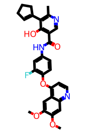 COc1cc2nccc(Oc3ccc(NC(=O)c4cnc(C)c(C5=CCCC5)c4O)cc3F)c2cc1OC